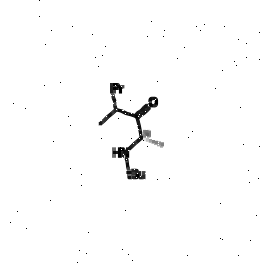 CC(C)C(C)C(=O)[C@H](C)NC(C)(C)C